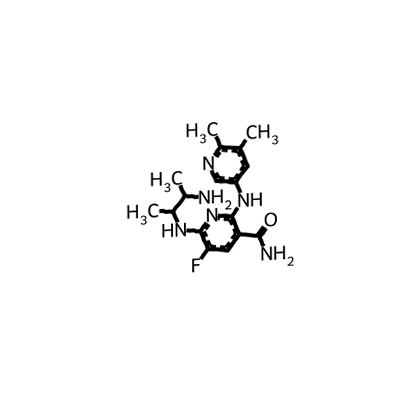 Cc1cc(Nc2nc(NC(C)C(C)N)c(F)cc2C(N)=O)cnc1C